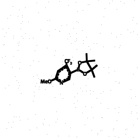 COc1cc(C(F)(F)F)c(B2OC(C)(C)C(C)(C)O2)cn1